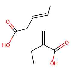 C=C(CC)C(=O)O.CC=CCC(=O)O